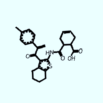 C=C(C(=O)c1c(NC(=O)C2CC=CCC2C(=O)O)sc2c1CCCC2)c1ccc(C)cc1